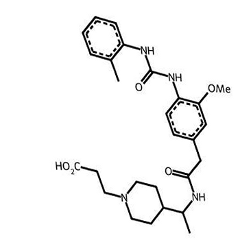 COc1cc(CC(=O)NC(C)C2CCN(CCC(=O)O)CC2)ccc1NC(=O)Nc1ccccc1C